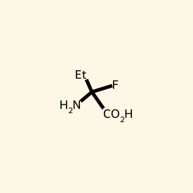 CCC(N)(F)C(=O)O